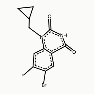 O=c1[nH]c(=O)n(CC2CC2)c2cc(F)c(Br)cc12